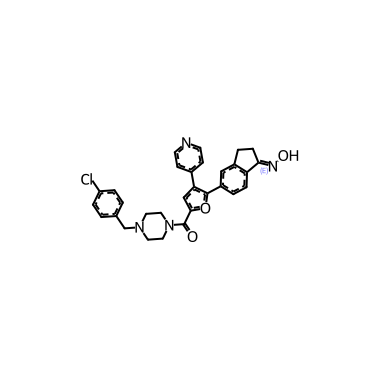 O=C(c1cc(-c2ccncc2)c(-c2ccc3c(c2)CC/C3=N\O)o1)N1CCN(Cc2ccc(Cl)cc2)CC1